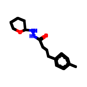 Cc1ccc(CCCC(=O)NNC2CCCCO2)cc1